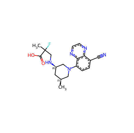 C[C@H]1C[C@@H](NCC(C)(F)C(=O)O)CN(c2ccc(C#N)c3nccnc23)C1